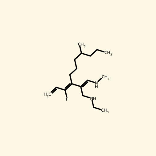 C=C/C(F)=C(CCCC(C)CCC)/C(=C/NC)CNCC